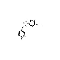 Cc1ccc(S(=O)(=O)SCc2ccc(Cl)c(Cl)c2)cc1